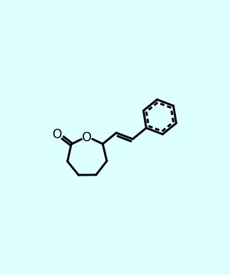 O=C1CCCCC(C=Cc2ccccc2)O1